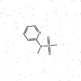 C[N+](c1ccccn1)S(C)(=O)=O